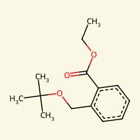 CCOC(=O)c1ccccc1COC(C)(C)C